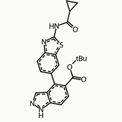 CC(C)(C)OC(=O)c1ccc2[nH]ncc2c1-c1ccc2nc(NC(=O)C3CC3)sc2c1